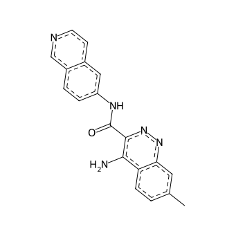 Cc1ccc2c(N)c(C(=O)Nc3ccc4cnccc4c3)nnc2c1